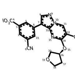 N#Cc1cc(C(=O)O)cc(-c2cnn3cc(Cl)c(O[C@H]4CCOC4)nc23)c1